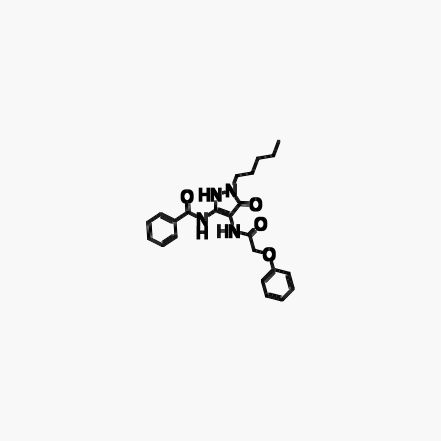 CCCCCn1[nH]c(NC(=O)c2ccccc2)c(NC(=O)COc2ccccc2)c1=O